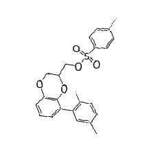 Cc1ccc(S(=O)(=O)OCC2COc3cccc(-c4cc(C)ccc4C)c3O2)cc1